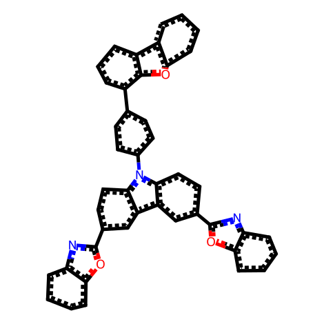 c1ccc2oc(-c3ccc4c(c3)c3cc(-c5nc6ccccc6o5)ccc3n4-c3ccc(-c4cccc5c4oc4ccccc45)cc3)nc2c1